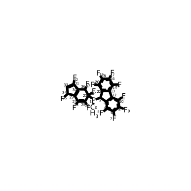 CP(C1c2c(F)c(F)c(F)c(F)c2-c2c(F)c(F)c(F)c(F)c21)C1(F)C(F)=C(F)C2=C(C(F)=[C]C2F)C1F